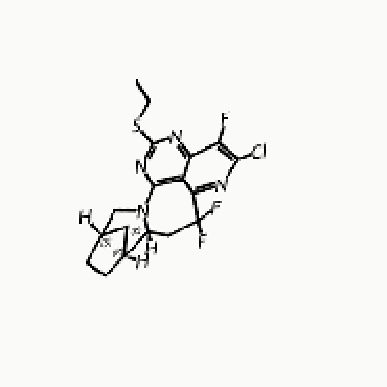 CCSc1nc2c3c(nc(Cl)c(F)c3n1)C(F)(F)C[C@@H]1[C@@H]3CC[C@@H](C3)CN21